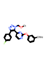 CCOCn1nnc(-c2ccc(F)cc2)c1-c1ccnc(Oc2cccc(OC)c2)n1